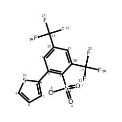 O=S(=O)(Cl)c1c(-c2cccs2)cc(C(F)(F)F)cc1C(F)(F)F